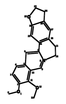 COc1ccc2cc3[n+](cc2c1OC)CCc1cc2c(cc1-3)OCC2